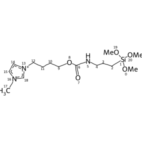 CO[Si](CCCNC(=O)OCCCC[n+]1ccn(C)c1)(OC)OC